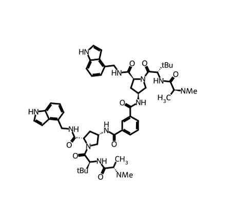 CN[C@@H](C)C(=O)N[C@H](C(=O)N1C[C@@H](NC(=O)c2cccc(C(=O)N[C@H]3C[C@@H](C(=O)NCc4cccc5[nH]ccc45)N(C(=O)[C@@H](NC(=O)[C@H](C)NC)C(C)(C)C)C3)c2)C[C@H]1C(=O)NCc1cccc2[nH]ccc12)C(C)(C)C